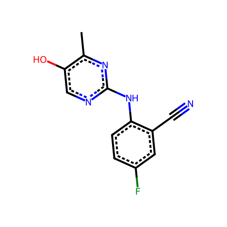 Cc1nc(Nc2ccc(F)cc2C#N)ncc1O